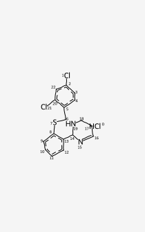 Cl.Clc1ccc(CSc2ccccc2C2N=CCCN2)c(Cl)c1